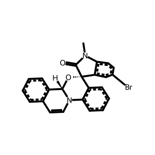 CN1C(=O)[C@@]2(O[C@H]3c4ccccc4C=CN3c3ccccc32)c2cc(Br)ccc21